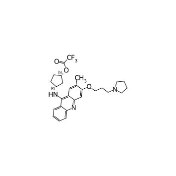 Cc1cc2c(N[C@@H]3CC[C@H](OC(=O)C(F)(F)F)C3)c3ccccc3nc2cc1OCCCN1CCCC1